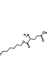 N[C@@H](CCC(=O)O)C(=O)OCCCCCCCl